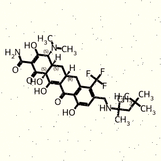 CN(C)[C@@H]1C(O)=C(C(N)=O)C(=O)[C@@]2(O)C(O)=C3C(=O)c4c(O)cc(CNC(C)(C)CC(C)(C)C)c(C(F)(F)F)c4C[C@H]3C[C@@H]12